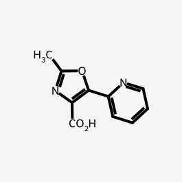 Cc1nc(C(=O)O)c(-c2ccccn2)o1